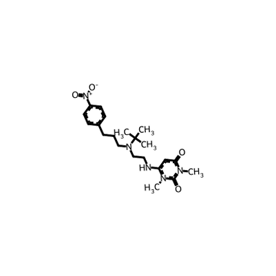 Cn1c(NCCN(CCCc2ccc([N+](=O)[O-])cc2)C(C)(C)C)cc(=O)n(C)c1=O